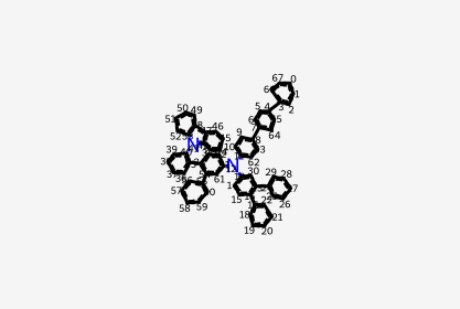 c1ccc(-c2ccc(-c3ccc(N(c4ccc(-c5ccccc5)c(-c5ccccc5)c4)c4ccc(-c5ccccc5-n5c6ccccc6c6ccccc65)c(-c5ccccc5)c4)cc3)cc2)cc1